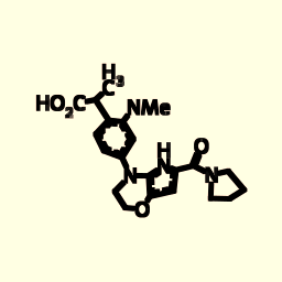 CNc1cc(N2CCOc3cc(C(=O)N4CCCC4)[nH]c32)ccc1C(C)C(=O)O